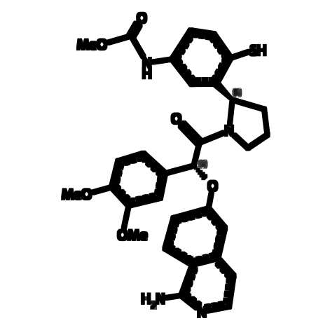 COC(=O)Nc1ccc(S)c([C@H]2CCCN2C(=O)[C@H](Oc2ccc3c(N)nccc3c2)c2ccc(OC)c(OC)c2)c1